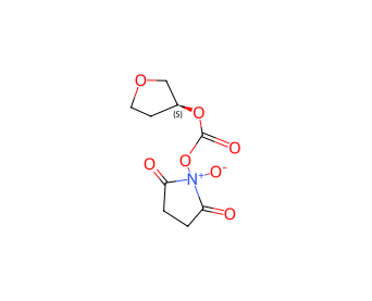 O=C(O[C@H]1CCOC1)O[N+]1([O-])C(=O)CCC1=O